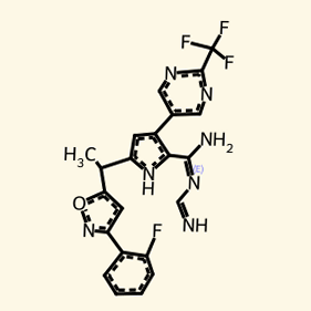 CC(c1cc(-c2cnc(C(F)(F)F)nc2)c(/C(N)=N\C=N)[nH]1)c1cc(-c2ccccc2F)no1